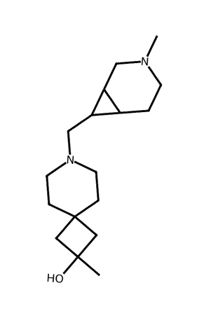 CN1CCC2C(C1)C2CN1CCC2(CC1)CC(C)(O)C2